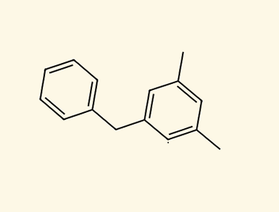 Cc1[c]c(Cc2ccccc2)cc(C)c1